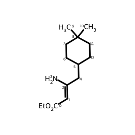 CCOC(=O)/C=C(\N)CC1CCC(C)(C)CC1